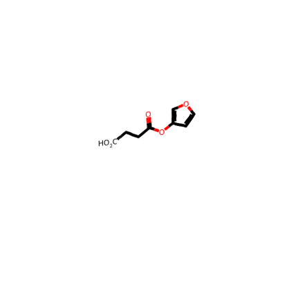 O=C(O)CCC(=O)Oc1ccoc1